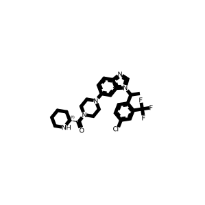 CC(c1ccc(Cl)cc1C(F)(F)F)n1cnc2ccc(N3CCN(C(=O)[C@H]4CCCCN4)CC3)cc21